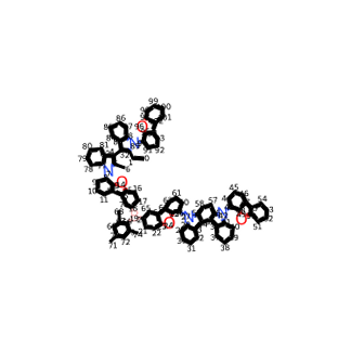 C=Cc1c(-c2c(C)n(-c3cccc4c3oc3ccc(B(c5ccc6oc7c(-n8c9ccccc9c9c%10c%11ccccc%11n(-c%11cccc%12c%11oc%11ccccc%11%12)c%10ccc98)cccc7c6c5)c5c(C)cc(C)cc5C)cc34)c3ccccc23)c2ccccc2n1-c1cccc2c1oc1ccccc12